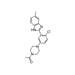 CC(=O)N1CCN(c2ccc(Cl)c(-c3nc4cc(C)ccc4[nH]3)c2)CC1